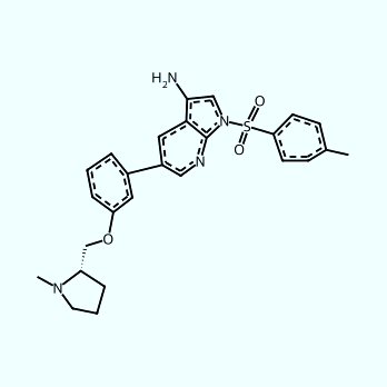 Cc1ccc(S(=O)(=O)n2cc(N)c3cc(-c4cccc(OC[C@@H]5CCCN5C)c4)cnc32)cc1